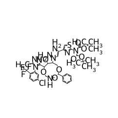 Cc1nnc(C2OCNOC(c3ccccc3)OCC(N(N)/C=C(\N)c3csc(N(C(=O)OC(C)(C)C)C(=O)OC(C)(C)C)n3)C2O)n1-c1cc(Cl)ccc1C(F)(F)F